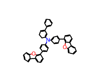 C1=C(c2ccccc2)C=C(N(c2ccc(-c3cccc4c3oc3ccccc34)cc2)c2ccc(-c3cccc4c3oc3ccccc34)cc2)CC1